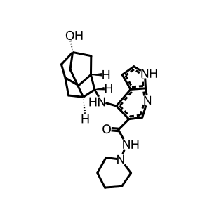 O=C(NN1CCCCC1)c1cnc2[nH]ccc2c1N[C@H]1[C@@H]2CC3C[C@H]1C[C@@](O)(C3)C2